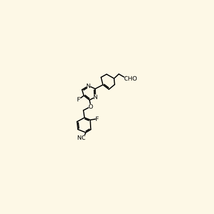 N#Cc1ccc(COc2nc(C3=CCC(CC=O)CC3)ncc2F)c(F)c1